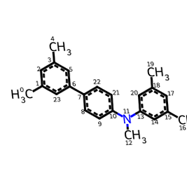 Cc1cc(C)cc(-c2ccc(N(C)c3cc(C)cc(C)c3)cc2)c1